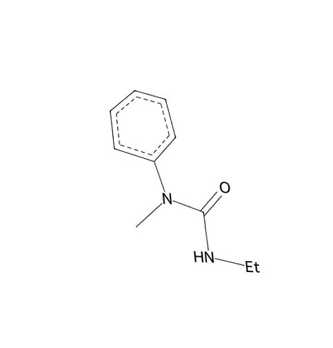 [CH2]CNC(=O)N(C)c1ccccc1